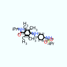 Cc1c(C)c(C(=O)NC(C)C)c(C)c(C)c1NC[C@H]1CC[C@H](NS(=O)(=O)C(C)C)CC1